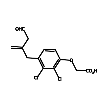 C=C(CC=O)Cc1ccc(OCC(=O)O)c(Cl)c1Cl